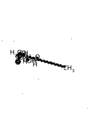 CCCCCCCCC=CCCCCCCCC(=O)NCCCC(CNC(=O)C1OC(c2ccccc2)OCC1(C)C)C(=O)O